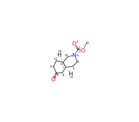 COC(=O)N1CC[C@H]2CC(=O)CC[C@H]2C1